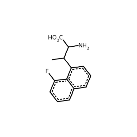 CC(c1cccc2cccc(F)c12)C(N)C(=O)O